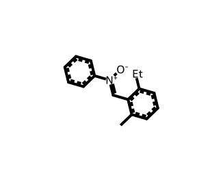 CCc1cccc(C)c1C=[N+]([O-])c1ccccc1